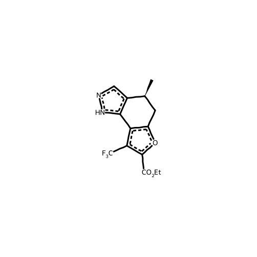 CCOC(=O)c1oc2c(c1C(F)(F)F)-c1[nH]ncc1[C@@H](C)C2